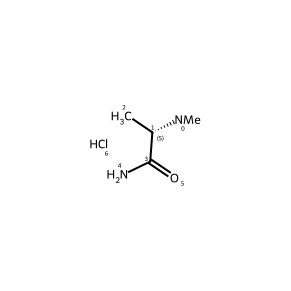 CN[C@@H](C)C(N)=O.Cl